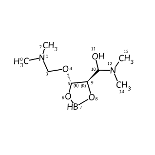 CN(C)CO[C@H]1OBO[C@@H]1C(O)N(C)C